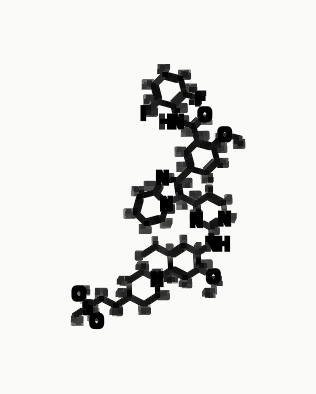 CCc1cc(Nc2nccc(-c3c(-c4ccc(OC)c(C(=O)Nc5c(F)cccc5F)c4)nc4ccccn34)n2)c(OC)cc1N1CCC(CCS(C)(=O)=O)CC1